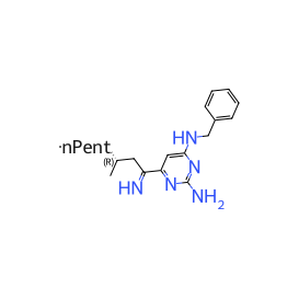 CCCC[CH][C@@H](C)CC(=N)c1cc(NCc2ccccc2)nc(N)n1